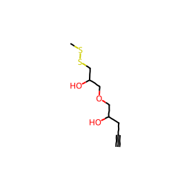 C#CCC(O)COCC(O)CSSC